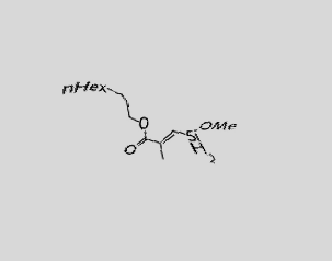 CCCCCCCCOC(=O)C(C)=C[SiH2]OC